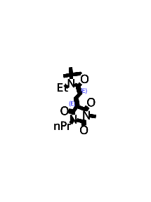 CCCN1C(=O)/C(=C/C=C2/OCC(C)(C)N2CC)C(=O)N(C)C1=O